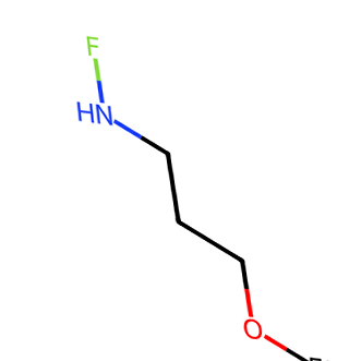 CCOCCCNF